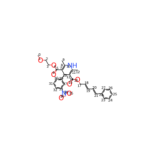 COCCOC(=O)C1=C(C)NC(C)=C(C(=O)OC/C=C/C=C/c2ccccc2)C1c1cccc([N+](=O)[O-])c1